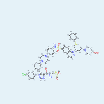 Cc1cc(S(=O)(=O)Nc2ccc(N3CCN(c4cccc(-c5c(C(=O)NC[SH](=O)=O)ncn5-c5ccc(Cl)cc5)c4)CC3)cc2)ccc1N[C@H](CCN1CCC(O)CC1)CSc1ccccc1